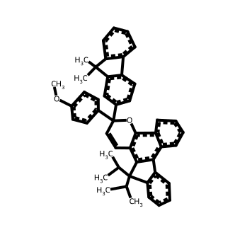 COc1ccc(C2(c3ccc4c(c3)C(C)(C)c3ccccc3-4)C=Cc3c4c(c5ccccc5c3O2)-c2ccccc2C4(C(C)C)C(C)C)cc1